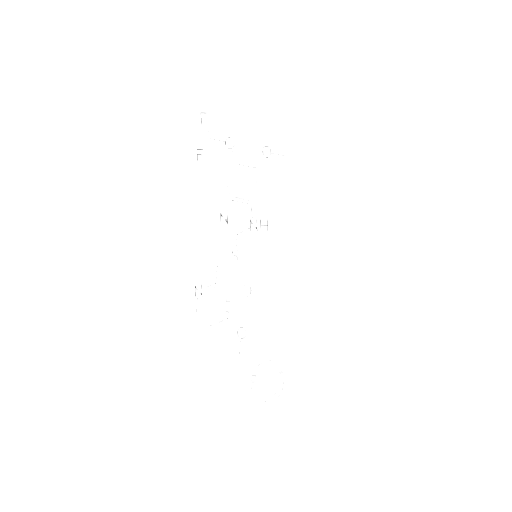 COc1cc2[nH]c(SCc3nccc(OCc4ccccc4)c3OC)nc2cc1OC(F)F